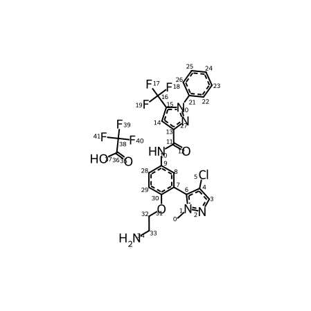 Cn1ncc(Cl)c1-c1cc(NC(=O)c2cc(C(F)(F)F)n(-c3ccccc3)n2)ccc1OCCN.O=C(O)C(F)(F)F